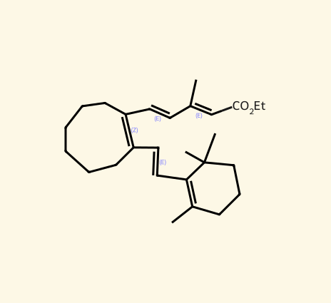 CCOC(=O)/C=C(C)/C=C/C1=C(\C=C\C2=C(C)CCCC2(C)C)CCCCCC1